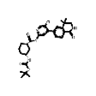 CC(C)(C)OC(=O)N[C@@H]1CCC[C@H](C(=O)Nc2cc(-c3ccc4c(c3)C(C)(C)CNC4=O)c(Cl)cn2)C1